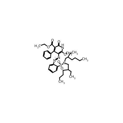 CCCCC(CC)CN(CC(CC)CCCC)S(=O)(=O)c1ccccc1/N=N/c1c(OC)[nH]c(=O)c(C(=O)OCC)c1-c1ccccc1